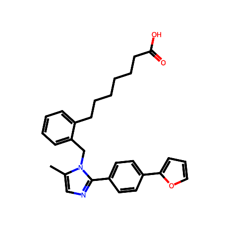 Cc1cnc(-c2ccc(-c3ccco3)cc2)n1Cc1ccccc1CCCCCCC(=O)O